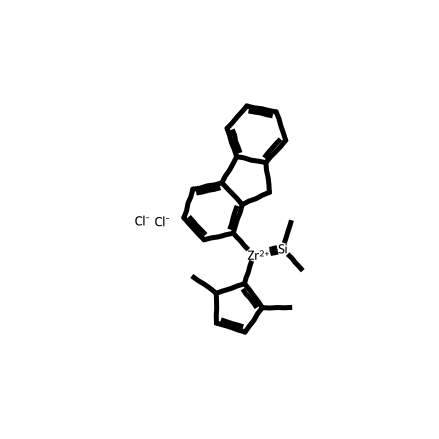 CC1=[C]([Zr+2]([c]2cccc3c2Cc2ccccc2-3)=[Si](C)C)C(C)C=C1.[Cl-].[Cl-]